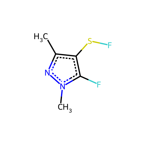 Cc1nn(C)c(F)c1SF